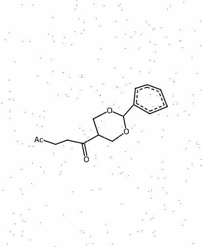 CC(=O)CCC(=O)C1COC(c2ccccc2)OC1